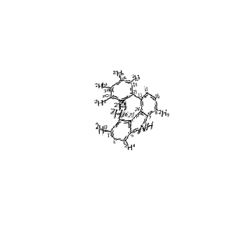 [2H]c1cc([2H])c2[nH]c3c([2H])ccc(-c4c([2H])c([2H])c([2H])c([2H])c4[2H])c3c2c1[2H]